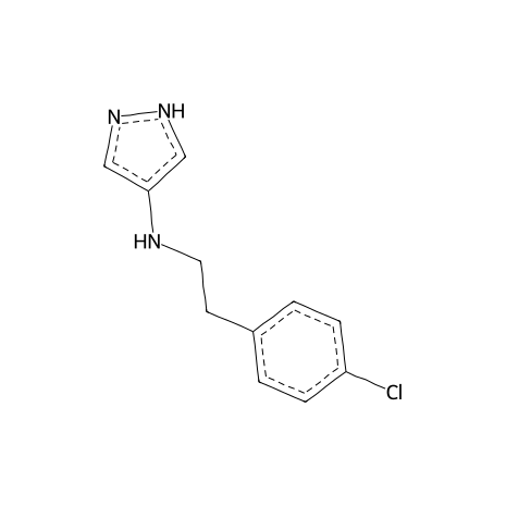 Clc1ccc(CCNc2cn[nH]c2)cc1